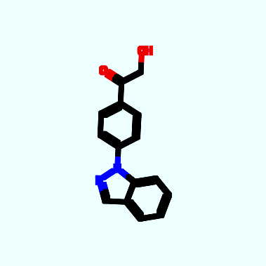 O=C(CO)c1ccc(-n2ncc3ccccc32)cc1